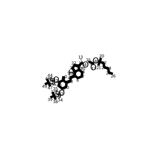 C=C1C(=CC=C2CCC[C@]3(C)C([C@H](C)OCC(=O)OC(C)(C)CCCCC)=CC[C@@H]23)C[C@@H](O[Si](C)(C)C(C)(C)C)C[C@@H]1O[Si](C)(C)C(C)(C)C